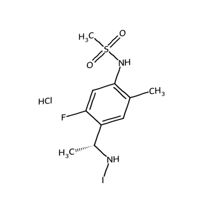 Cc1cc([C@@H](C)NI)c(F)cc1NS(C)(=O)=O.Cl